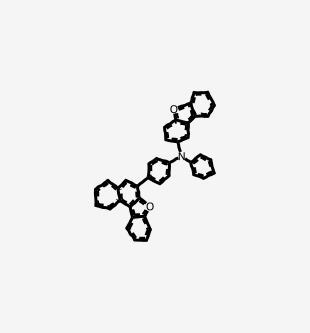 c1ccc(N(c2ccc(-c3cc4ccccc4c4c3oc3ccccc34)cc2)c2ccc3oc4ccccc4c3c2)cc1